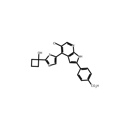 O=C(O)c1ccc(-c2cc3c(-c4cnc(C5(O)CCC5)s4)c(Cl)cnc3[nH]2)cc1